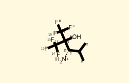 CC(C)[C@H](N)C(O)(C(F)(F)F)C(F)(F)F